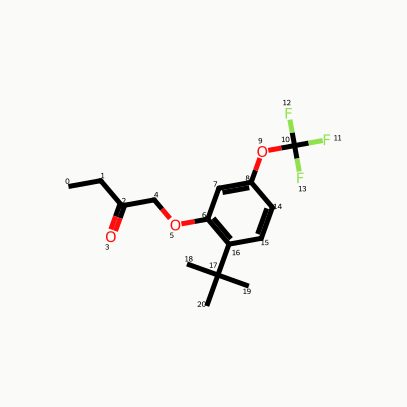 CCC(=O)COc1cc(OC(F)(F)F)ccc1C(C)(C)C